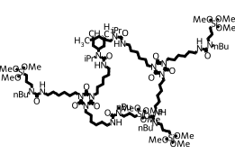 CCCCN(CCC[Si](OC)(OC)OC)C(=O)NCCCCCCn1c(=O)n(CCCCCCNC(=O)N(CCCC)CCC[Si](OC)(OC)OC)c(=O)n(CCCCCCNC(=O)N(CC2(C)CC(N(C(=O)NCCCCCCn3c(=O)n(CCCCCCNC(=O)N(CCCC)CCC[Si](OC)(OC)OC)c(=O)n(CCCCCCNC(=O)N(CCCC)CCC[Si](OC)(OC)OC)c3=O)C(C)C)CC(C)(C)C2)C(C)C)c1=O